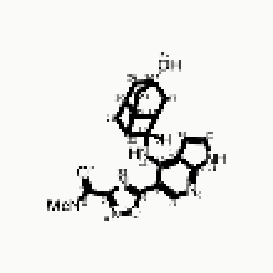 CNC(=O)c1noc(-c2cnc3[nH]ccc3c2N[C@H]2C3CC4CC2C[C@@](O)(C4)C3)n1